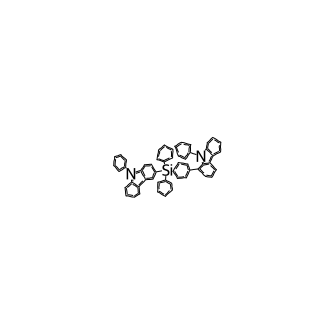 c1ccc(-n2c3ccccc3c3cc([Si](c4ccccc4)(c4ccccc4)c4ccc(-c5cccc6c7ccccc7n(-c7ccccc7)c56)cc4)ccc32)cc1